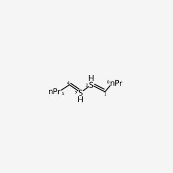 CCCC=[SH][SH]=CCCC